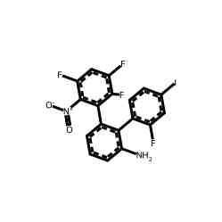 Nc1cccc(-c2c(F)c(F)cc(F)c2[N+](=O)[O-])c1-c1ccc(I)cc1F